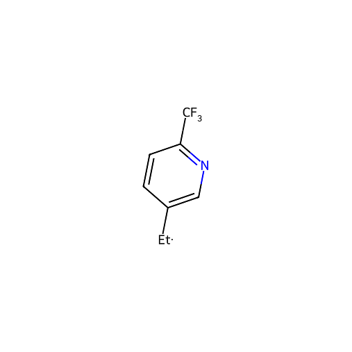 C[CH]c1ccc(C(F)(F)F)nc1